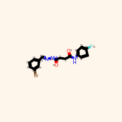 O=C(CCC(=O)Nc1ccc(F)cc1)N/N=C/c1cccc(Br)c1